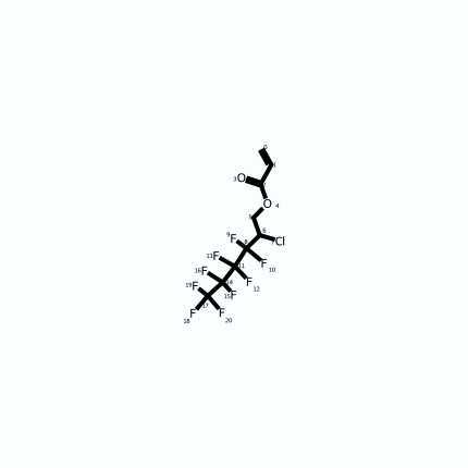 C=CC(=O)OCC(Cl)C(F)(F)C(F)(F)C(F)(F)C(F)(F)F